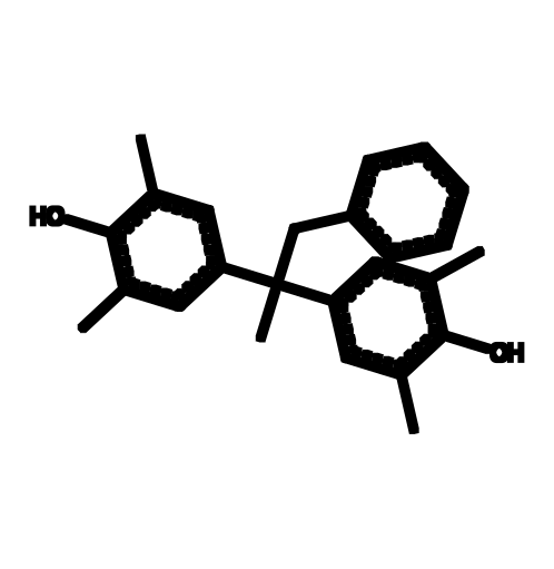 Cc1cc(C(C)(Cc2ccccc2)c2cc(C)c(O)c(C)c2)cc(C)c1O